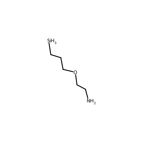 NCCOCCC[SiH3]